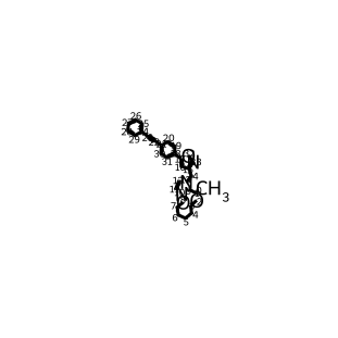 C[C@H](OC1CCCCO1)c1nccn1Cc1cc(-c2ccc(C#Cc3ccccc3)cc2)on1